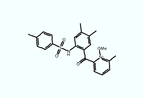 CO[n+]1c(C)cccc1C(=O)c1cc(C)c(C)cc1NS(=O)(=O)c1ccc(C)cc1